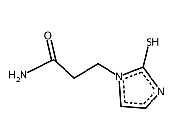 NC(=O)CCn1ccnc1S